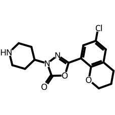 O=c1oc(-c2cc(Cl)cc3c2OCCC3)nn1C1CCNCC1